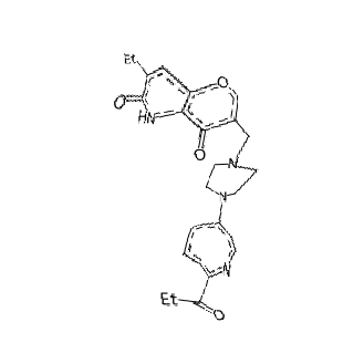 CCC(=O)c1ccc(N2CCN(Cc3coc4cc(CC)c(=O)[nH]c4c3=O)CC2)cn1